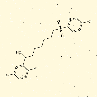 O=S(=O)(CCCCCCC(O)c1cc(F)ccc1F)c1ccc(Cl)cn1